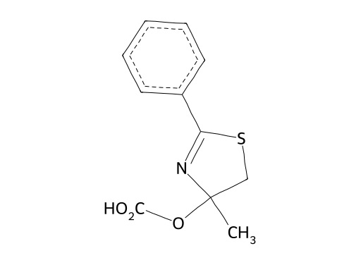 CC1(OC(=O)O)CSC(c2ccccc2)=N1